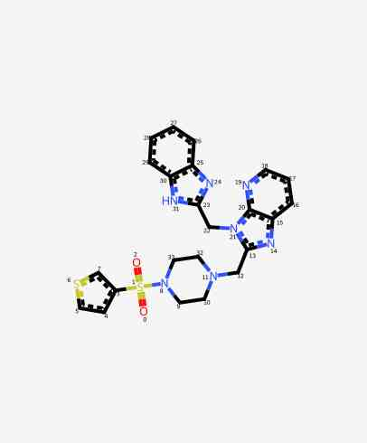 O=S(=O)(c1ccsc1)N1CCN(Cc2nc3cccnc3n2Cc2nc3ccccc3[nH]2)CC1